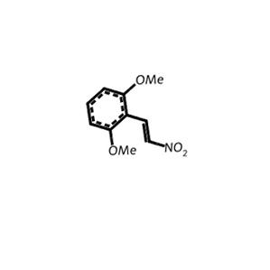 COc1cccc(OC)c1C=C[N+](=O)[O-]